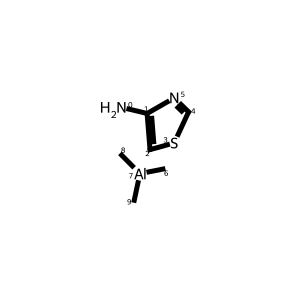 Nc1cscn1.[CH3][Al]([CH3])[CH3]